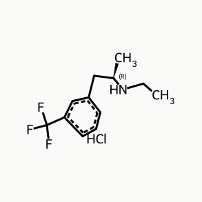 CCN[C@H](C)Cc1cccc(C(F)(F)F)c1.Cl